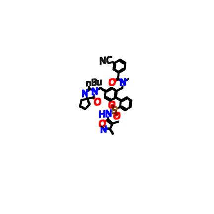 CCCCC1=NC2(CCCC2)C(=O)N1Cc1ccc(-c2ccccc2S(=O)(=O)Nc2onc(C)c2C)c(CN(C)C(=O)c2cccc(C#N)c2)c1